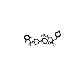 CCCCC1CN(Cc2ccncc2)C(=O)OC12CCN(C1CCN(C(=O)c3c(C)cccc3C)CC1)CC2